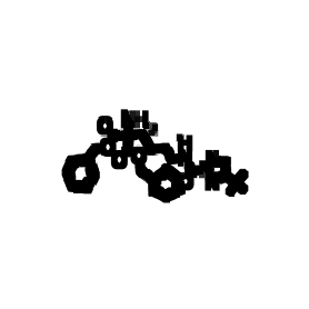 CC(C)(C)c1cnn(C(=O)NCCCCC(N)(C(=O)OCc2ccccc2)C(=O)OCc2ccccc2)n1